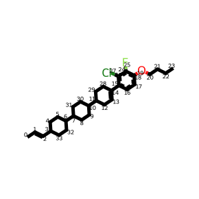 C/C=C/C1CCC(C2CCC(C3CC=C(c4ccc(OCCCC)c(F)c4Cl)CC3)CC2)CC1